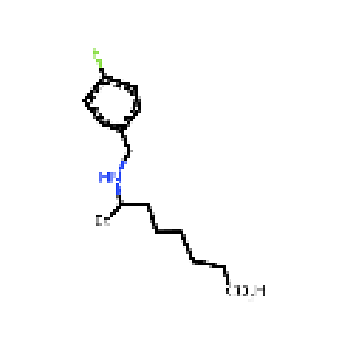 CCC(CCCCCC(=O)O)NCc1ccc(F)cc1